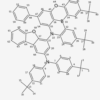 CC(C)(C)c1ccc(N(c2ccc(C(C)(C)C)cc2)c2cc(N3c4ccc(C(C)(C)C)cc4B4c5cc(C(C)(C)C)ccc5Oc5cc(-c6ccccc6)cc3c54)c3oc4ccccc4c3c2)cc1